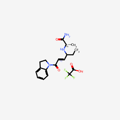 C[C@H](NC(/C=C/C(=O)N1CCc2ccccc21)CC(F)(F)F)C(N)=O.O=C(O)C(F)(F)F